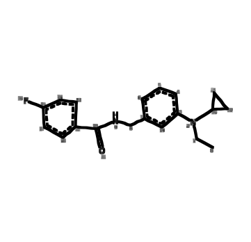 CCN(c1cccc(CNC(=O)c2ccc(F)cc2)c1)C1CC1